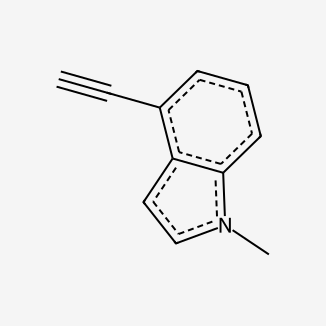 C#Cc1cccc2c1ccn2C